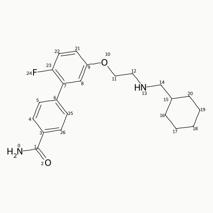 NC(=O)c1ccc(-c2cc(OCCNCC3CCCCC3)ccc2F)cc1